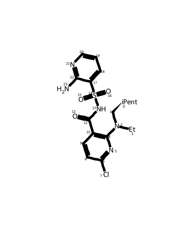 CCC[C@H](C)CN(CC)c1nc(Cl)ccc1C(=O)NS(=O)(=O)c1cccnc1N